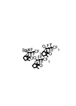 CC12CCC([C-](C(=O)C(F)(F)C(F)(F)C(F)(F)F)C1=O)C2(C)C.CC12CCC([C-](C(=O)C(F)(F)C(F)(F)C(F)(F)F)C1=O)C2(C)C.CC12CCC([C-](C(=O)C(F)(F)C(F)(F)C(F)(F)F)C1=O)C2(C)C.[Eu+3]